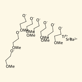 COCC[O-].COCC[O-].COCC[O-].COCC[O-].COCC[O-].COCC[O-].COCC[O-].COCC[O-].[Ba+2].[Sr+2].[Ti+4]